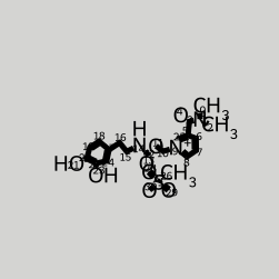 CN(C)C(=O)c1ccc[n+](COC(=O)NCCc2ccc(O)c(O)c2)c1.CS(=O)(=O)[O-]